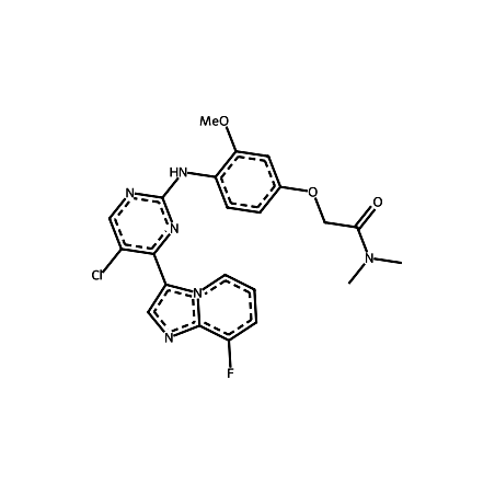 COc1cc(OCC(=O)N(C)C)ccc1Nc1ncc(Cl)c(-c2cnc3c(F)cccn23)n1